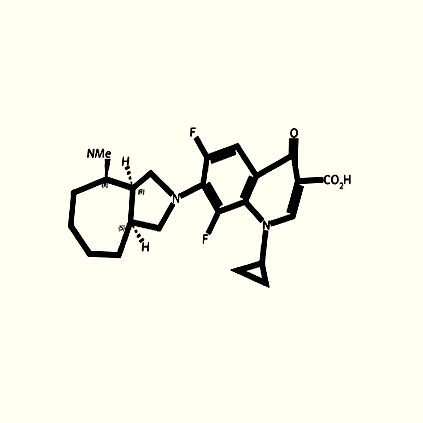 CN[C@@H]1CCCC[C@@H]2CN(c3c(F)cc4c(=O)c(C(=O)O)cn(C5CC5)c4c3F)C[C@@H]21